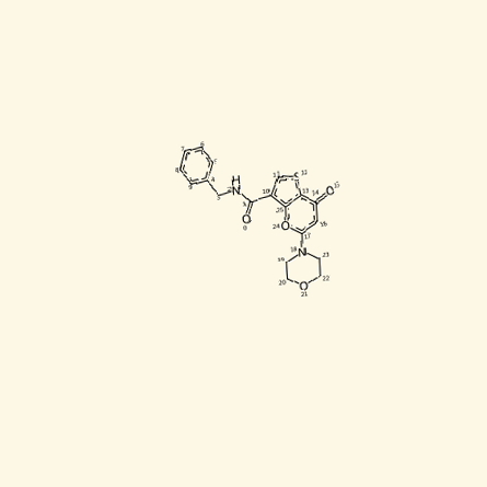 O=C(NCc1ccccc1)c1csc2c(=O)cc(N3CCOCC3)oc12